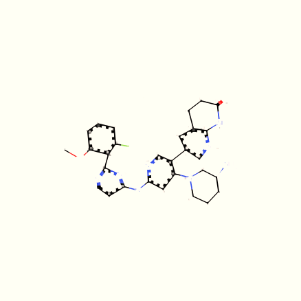 COc1cccc(F)c1-c1nccc(Nc2cc(N3CCC[C@H](N)C3)c(-c3cnc4c(c3)CCC(=O)N4)cn2)n1.Cl